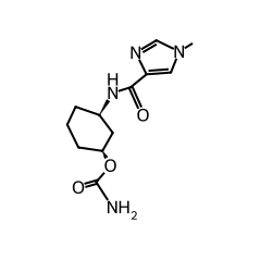 Cn1cnc(C(=O)N[C@@H]2CCC[C@H](OC(N)=O)C2)c1